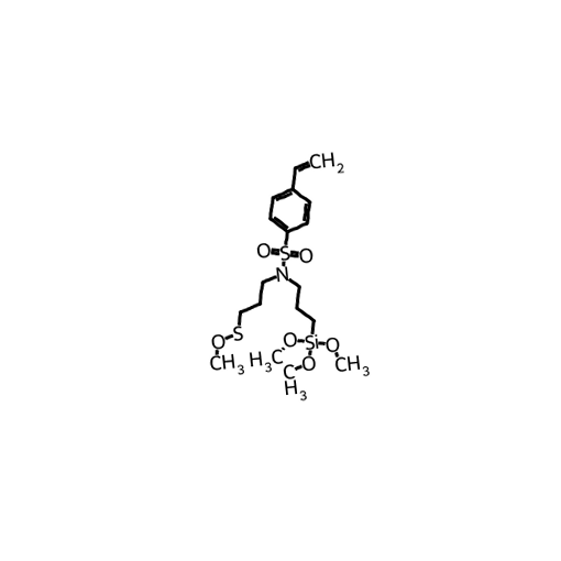 C=Cc1ccc(S(=O)(=O)N(CCCSOC)CCC[Si](OC)(OC)OC)cc1